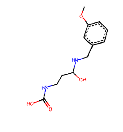 COc1cccc(CNC(O)CCNC(=O)O)c1